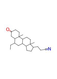 CCC1CC2C3CCC(CCC#N)C3(C)CCC2C2(C)CCC(=O)CC12